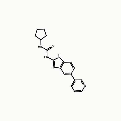 O=C(Nc1nc2cc(-c3cccnc3)ccc2[nH]1)NC1CCCC1